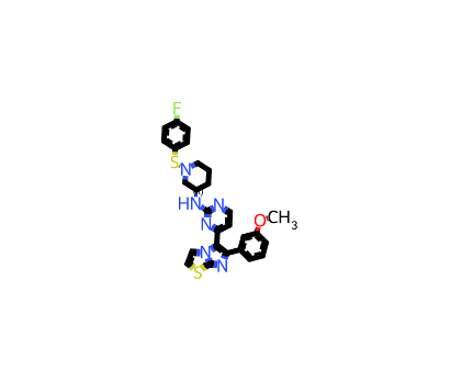 COc1cccc(-c2nc3sccn3c2-c2ccnc(N[C@@H]3CCCN(Sc4ccc(F)cc4)C3)n2)c1